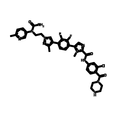 Cc1ccc(N(CCn2cc(-c3ccc(-c4cnc(C(=O)Nc5ccc(C(=O)N6CCNCC6)c(Cl)c5)n4C)c(F)c3F)c(C)n2)C(N)=O)cn1